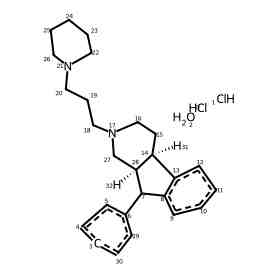 Cl.Cl.O.c1ccc(C2c3ccccc3[C@@H]3CCN(CCCN4CCCCC4)C[C@H]23)cc1